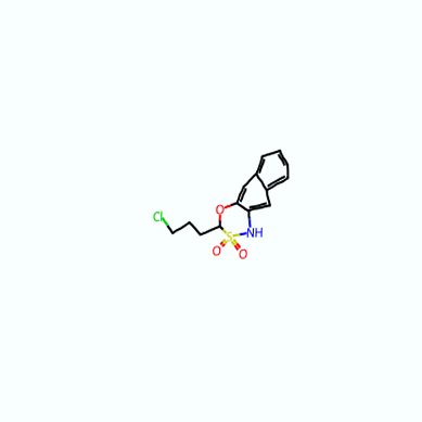 O=S1(=O)Nc2cc3ccccc3cc2OC1CCCCl